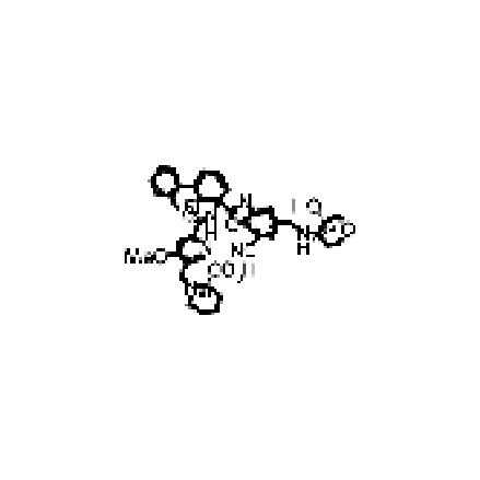 COc1cc(C(=O)NC2(c3nc4cc(CN[C@@H]5CCOC[C@H]5O)cc(C#N)c4o3)C=CC=C(c3ccccc3C)C2Cl)ncc1CN1CCCC[C@H]1C(=O)O